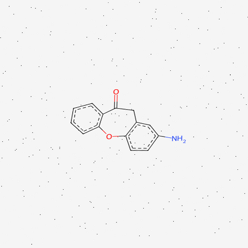 Nc1ccc2c(c1)CC(=O)c1ccccc1O2